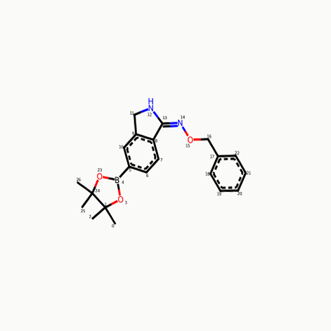 CC1(C)OB(c2ccc3c(c2)CN/C3=N/OCc2ccccc2)OC1(C)C